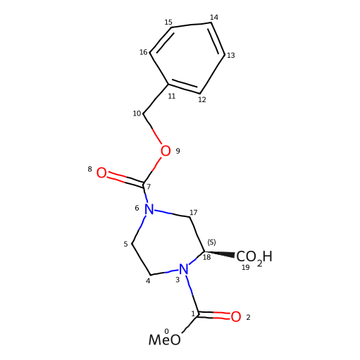 COC(=O)N1CCN(C(=O)OCc2ccccc2)C[C@H]1C(=O)O